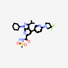 CC(C)c1nn(C2CCCCC2)c2nc(C(=O)NS(C)(=O)=O)cc(-c3ccc(N4CCC(F)(F)C4)nc3)c12